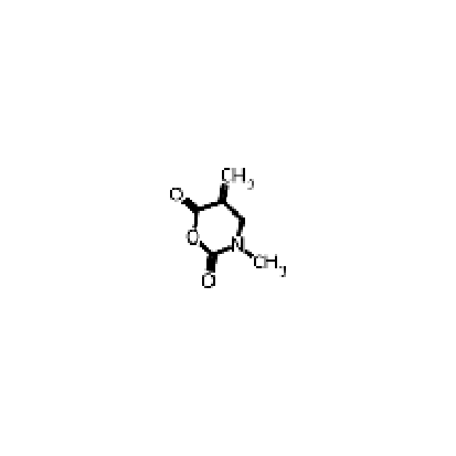 C=C1CN(C)C(=O)OC1=O